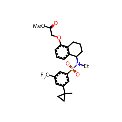 CCN(C1CCCc2c(OCC(=O)OC)cccc21)S(=O)(=O)c1cc(C(F)(F)F)cc(C2(C)CC2)c1